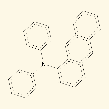 [c]1ccc2cc3ccccc3cc2c1N(c1ccccc1)c1ccccc1